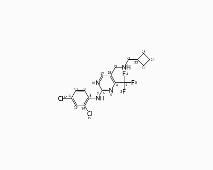 FC(F)(F)c1nc(Nc2ccc(Cl)cc2Cl)ncc1CNCC1CCC1